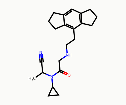 CC(C#N)N(C(=O)CNCCc1c2c(cc3c1CCC3)CCC2)C1CC1